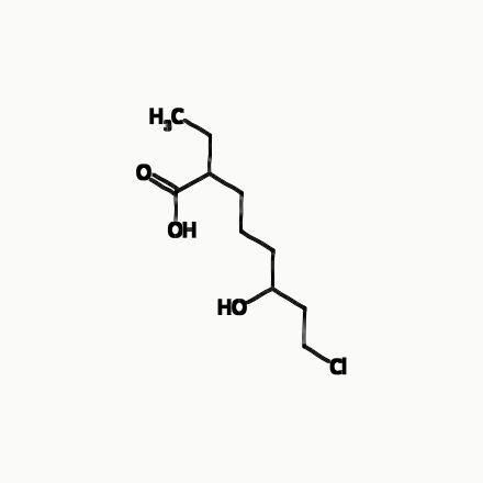 CCC(CCCC(O)CCCl)C(=O)O